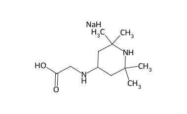 CC1(C)CC(NCC(=O)O)CC(C)(C)N1.[NaH]